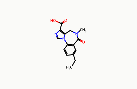 CCc1ccc2c(c1)C(=O)N(C)Cc1c(C(=O)O)ncn1-2